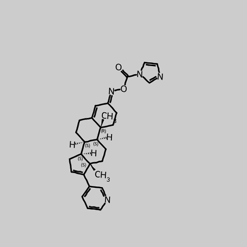 C[C@]12CCC(=NOC(=O)n3ccnc3)C=C1CC[C@H]1[C@@H]2CC[C@]2(C)C(c3cccnc3)=CC[C@@H]12